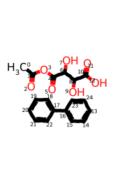 CC(=O)OC(=O)C(O)C(O)C(=O)O.c1ccc(-c2ccccc2)cc1